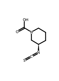 O=C(O)N1CCC[C@@H](N=C=S)C1